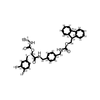 CC(C)(C)NC(=O)O[C@@H](Cc1ccc(F)c(F)c1)C(=O)NCc1ccc(CNC(=O)OCC2c3ccccc3-c3ccccc32)cc1